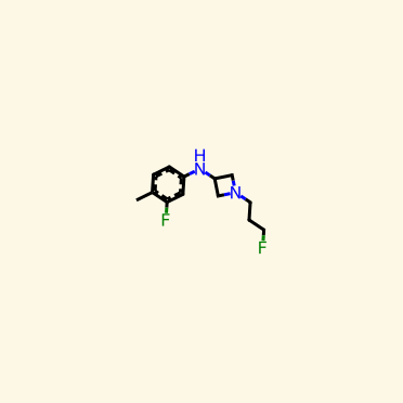 Cc1ccc(NC2CN(CCCF)C2)cc1F